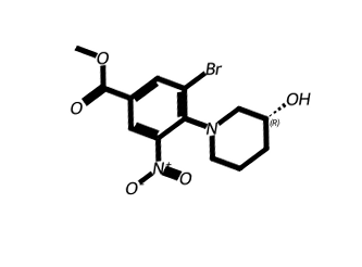 COC(=O)c1cc(Br)c(N2CCC[C@@H](O)C2)c([N+](=O)[O-])c1